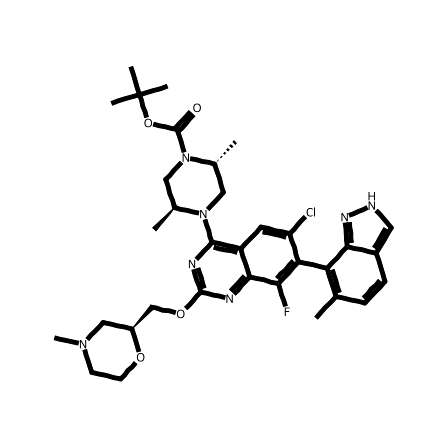 Cc1ccc2c[nH]nc2c1-c1c(Cl)cc2c(N3C[C@@H](C)N(C(=O)OC(C)(C)C)C[C@@H]3C)nc(OC[C@@H]3CN(C)CCO3)nc2c1F